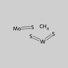 C.[S]=[Mo].[S]=[W]=[S]